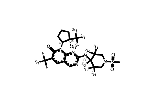 [2H]C(F)(F)c1cc2cnc(NC3([2H])C([2H])([2H])CN(S(C)(=O)=O)CC3([2H])[2H])nc2n([C@H]2CCC[C@@]2(O)C([2H])([2H])[2H])c1=O